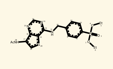 CCOP(=O)(OCC)c1ccc(CNc2ncnc3c(NC(C)=O)csc23)cc1